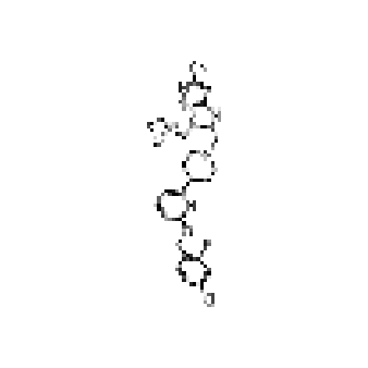 N#Cc1cc2nc(CN3CCC(c4cccc(OCc5ccc(Cl)cc5F)n4)CC3)n(C[C@@H]3CCO3)c2nn1